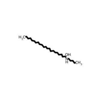 CCCCCCCCCCCCCCCCCCCCCC(O)NCCCCC